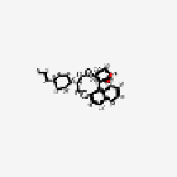 CCC[C@H]1CC[C@H](C2COc3ccc4ccccc4c3-c3c(ccc4ccccc34)OC2)CC1